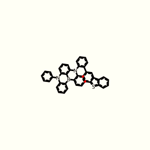 c1ccc(N2c3ccccc3B3c4ccccc4N(c4ccccc4-c4ccc5sc6ccccc6c5c4)c4cccc2c43)cc1